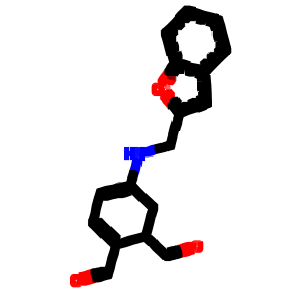 O=CC1=CC=C(NCc2cc3ccccc3o2)CC1C=O